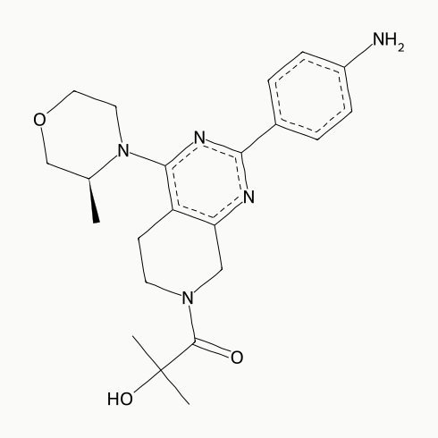 C[C@H]1COCCN1c1nc(-c2ccc(N)cc2)nc2c1CCN(C(=O)C(C)(C)O)C2